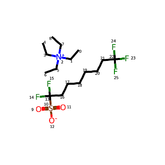 CC[N+](CC)(CC)CC.O=S(=O)([O-])C(F)(F)CCCCCCC(F)(F)F